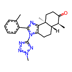 Cc1ccccc1-c1nc2c(n1-c1nnn(C)n1)CC[C@H]1[C@H](C)C(=O)CC[C@]21C